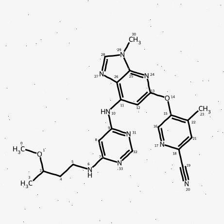 COC(C)CCNc1cc(Nc2cc(Oc3cnc(C#N)cc3C)nc3c2ncn3C)ncn1